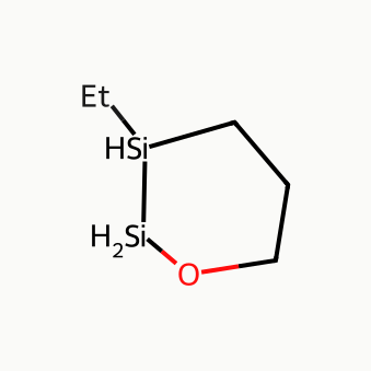 CC[SiH]1CCCO[SiH2]1